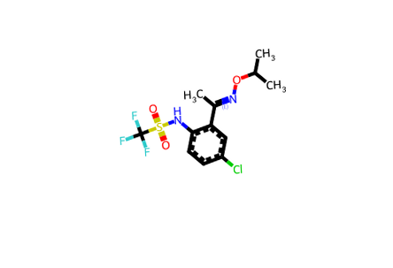 C/C(=N\OC(C)C)c1cc(Cl)ccc1NS(=O)(=O)C(F)(F)F